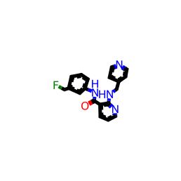 O=C(Nc1cccc(CF)c1)c1cccnc1NCc1ccncc1